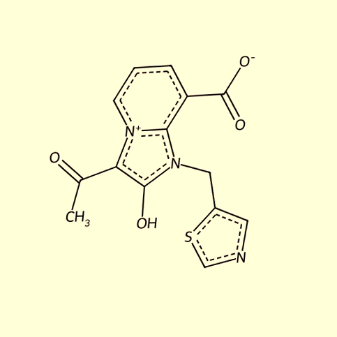 CC(=O)c1c(O)n(Cc2cncs2)c2c(C(=O)[O-])ccc[n+]12